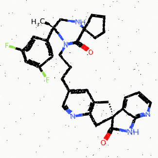 C[C@@]1(c2cc(F)cc(F)c2)CNC2(CCCC2)C(=O)N1CCCc1cnc2c(c1)C[C@@]1(C2)C(=O)Nc2ncccc21